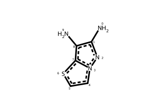 Nc1nn2ccsc2c1N